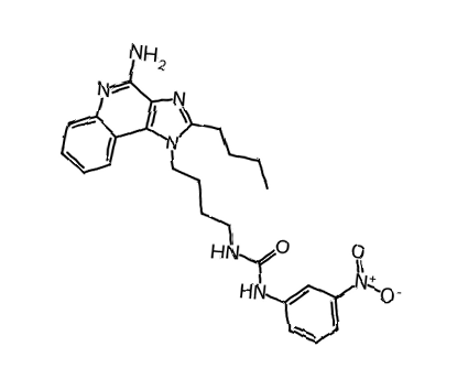 CCCCc1nc2c(N)nc3ccccc3c2n1CCCCNC(=O)Nc1cccc([N+](=O)[O-])c1